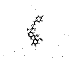 C=C1C=CC(NC(=O)OCCN2CCN(C)CC2)=C/C1=[N+](\[O-])c1cc(C)c(C)cc1N=O